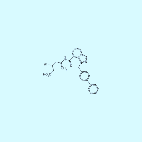 C=C(C[C@H](CC(=O)O)C(C)C)NC(=O)c1cccc2cnn(Cc3ccc(-c4ccccc4)cc3)c12